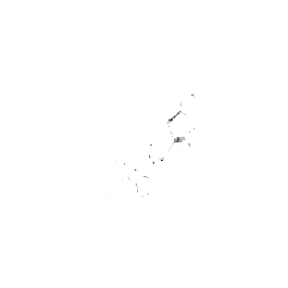 Cc1cc(CNS(=O)(=O)C2(N(C(=O)O)C(C)(C)C)CC2)no1